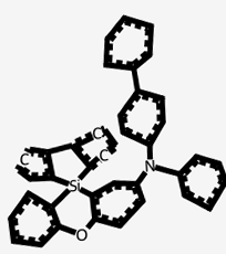 c1ccc(-c2ccc(N(c3ccccc3)c3ccc4c(c3)[Si]3(c5ccccc5O4)c4ccccc4-c4ccccc43)cc2)cc1